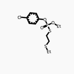 CCOP(=O)(Oc1ccc(Cl)cc1)SCCSCC